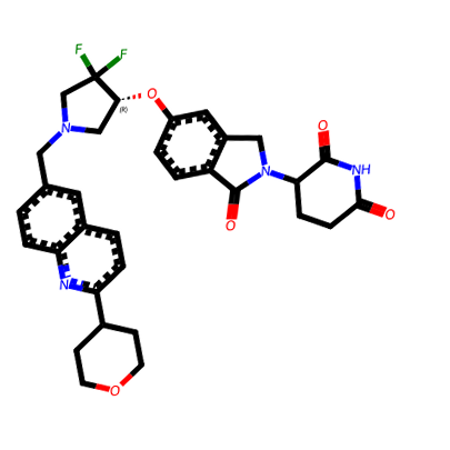 O=C1CCC(N2Cc3cc(O[C@@H]4CN(Cc5ccc6nc(C7CCOCC7)ccc6c5)CC4(F)F)ccc3C2=O)C(=O)N1